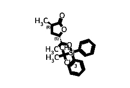 CC(O[Si](c1ccccc1)(c1ccccc1)C(C)(C)C)[C@@H]1C[C@@H](C)C(=O)O1